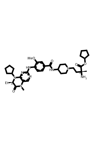 CC[C@@H]1C(=O)N(C)c2cnc(Nc3ccc(C(=O)NC4CCN(CC[C@@](C)(N)C(=O)OC5CCCC5)CC4)cc3OC)nc2N1C1CCCC1